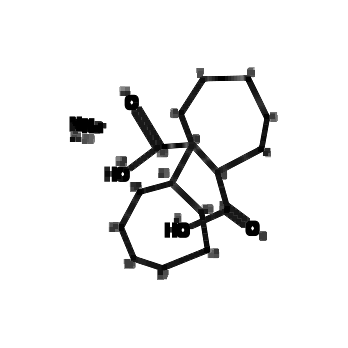 O=C(O)C1CCCCCC1(C(=O)O)C1CCCCCC1.[Na].[Na]